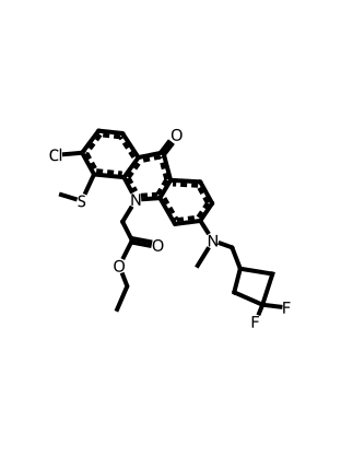 CCOC(=O)Cn1c2cc(N(C)CC3CC(F)(F)C3)ccc2c(=O)c2ccc(Cl)c(SC)c21